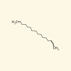 C=C=CCCCCCCCCCCCC=C